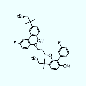 CC(C)(C)CC(C)(C)c1ccc(O)c(-c2cc(F)ccc2OCCCOc2c(C(C)(C)CC(C)(C)C)ccc(O)c2-c2cccc(F)c2)c1